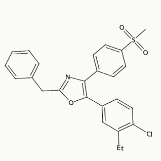 CCc1cc(-c2oc(Cc3ccccc3)nc2-c2ccc(S(C)(=O)=O)cc2)ccc1Cl